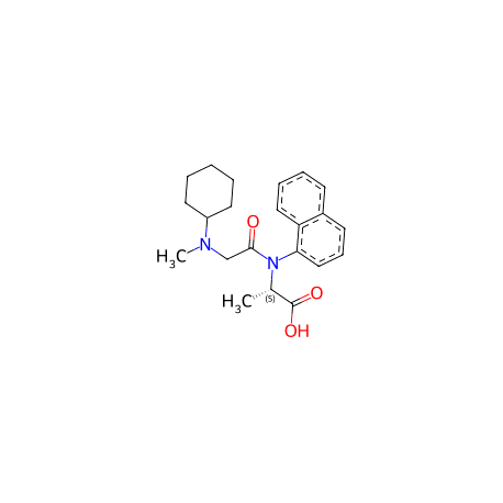 C[C@@H](C(=O)O)N(C(=O)CN(C)C1CCCCC1)c1cccc2ccccc12